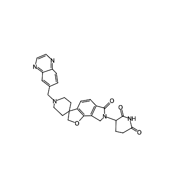 O=C1CCC(N2Cc3c(ccc4c3OCC43CCN(Cc4ccc5nccnc5c4)CC3)C2=O)C(=O)N1